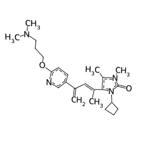 C=C(/C=C(\C)c1c(C)n(C)c(=O)n1C1CCC1)c1ccc(OCCCN(C)C)nc1